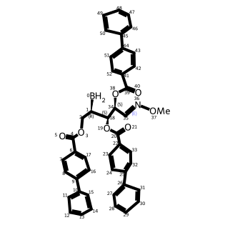 B[C@H](COC(=O)c1ccc(-c2ccccc2)cc1)[C@H](OC(=O)c1ccc(-c2ccccc2)cc1)[C@H](/C=N/OC)OC(=O)c1ccc(-c2ccccc2)cc1